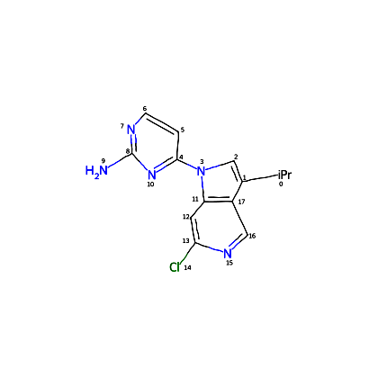 CC(C)c1cn(-c2ccnc(N)n2)c2cc(Cl)ncc12